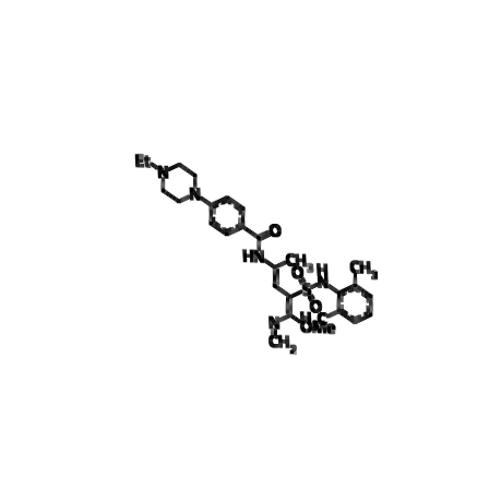 C=N/C(OC)=C(\C=C(/C)NC(=O)c1ccc(N2CCN(CC)CC2)cc1)S(=O)(=O)Nc1c(C)cccc1C